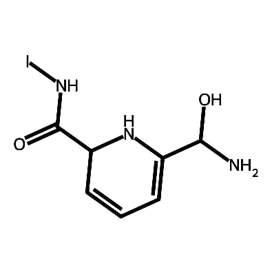 NC(O)C1=CC=CC(C(=O)NI)N1